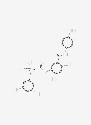 Cl.Nc1ccc(NC(=O)c2cc(NC(=O)[C@@H]3[C@@H](c4cc(Cl)cc(Cl)c4)C3(Cl)Cl)ccc2Cl)cc1